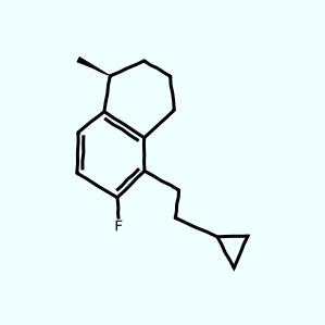 C[C@H]1CCCc2c1ccc(F)c2CCC1CC1